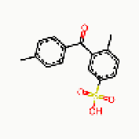 Cc1ccc(C(=O)c2cc(S(=O)(=O)O)ccc2C)cc1